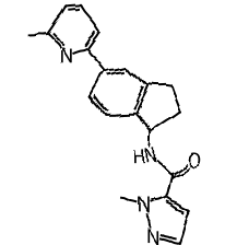 Cc1cccc(-c2ccc3c(c2)CCC3NC(=O)c2ccnn2C)n1